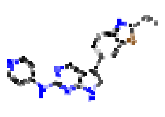 Cc1nc2ccc(-c3c[nH]c4nc(Nc5ccncc5)ncc34)cc2s1